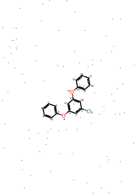 Clc1cc(Oc2ccccc2)cc(Oc2ccccc2)c1